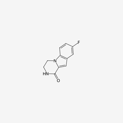 O=C1NCCn2c1cc1cc(F)ccc12